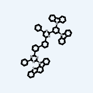 c1ccc(-c2cc(-c3cccc(-c4cccc(-c5nc(-c6ccccc6)nc(-n6c7ccccc7c7ccc8c9ccccc9sc8c76)n5)c4)c3)nc(-c3cc(-n4c5ccccc5c5ccccc54)cc(-n4c5ccccc5c5ccccc54)c3)n2)cc1